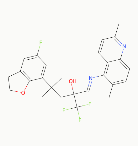 Cc1ccc2c(N=CC(O)(CC(C)(C)c3cc(F)cc4c3OCC4)C(F)(F)F)c(C)ccc2n1